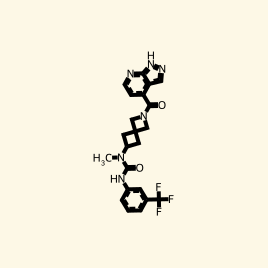 CN(C(=O)Nc1cccc(C(F)(F)F)c1)C1CC2(C1)CN(C(=O)c1ccnc3[nH]ncc13)C2